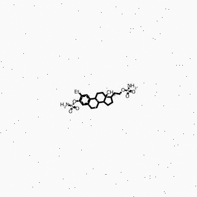 CCc1cc2c(cc1OS(N)(=O)=O)CCC1C2CCC2(C)C(CCOS(N)(=O)=O)CCC12